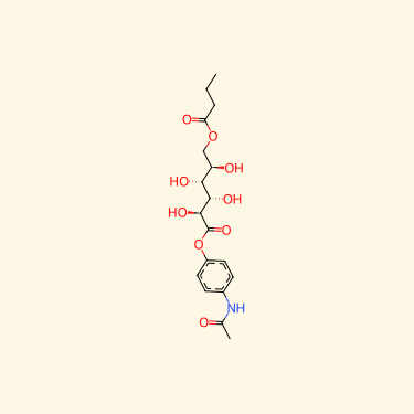 CCCC(=O)OC[C@@H](O)[C@@H](O)[C@H](O)[C@H](O)C(=O)Oc1ccc(NC(C)=O)cc1